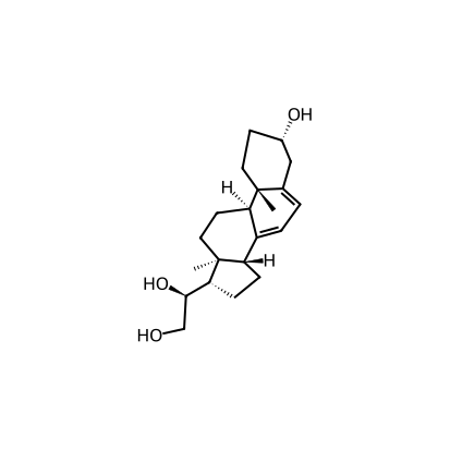 C[C@]12CC[C@@H]3C(=CC=C4C[C@@H](O)CC[C@]43C)[C@@H]1CC[C@@H]2[C@H](O)CO